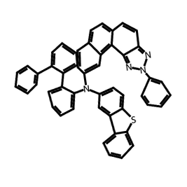 c1ccc(-c2ccccc2-c2ccccc2N(c2ccc3sc4ccccc4c3c2)c2ccc3ccc4ccc5nn(-c6ccccc6)nc5c4c3c2)cc1